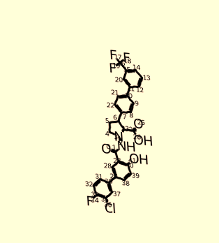 O=C(NN1CCC(c2ccc(-c3cccc(C(F)(F)F)c3)cc2)C1C(=O)O)c1cc(-c2ccc(F)c(Cl)c2)ccc1O